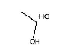 [CH2]CO.[OH]